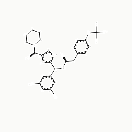 O=C(Cc1ccc(OC(F)(F)F)cc1)NC(c1cc(F)cc(F)c1)c1nc(C(=O)N2CCCCC2)co1